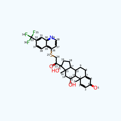 CC12C=CC(=O)C=C1CCC1C2[C@@H](O)CC2(C)C1CC[C@]2(O)C(=O)CSc1ccnc2cc(C(F)(F)F)ccc12